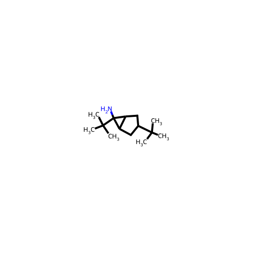 CC(C)(C)C1CC2C(C1)C2(N)C(C)(C)C